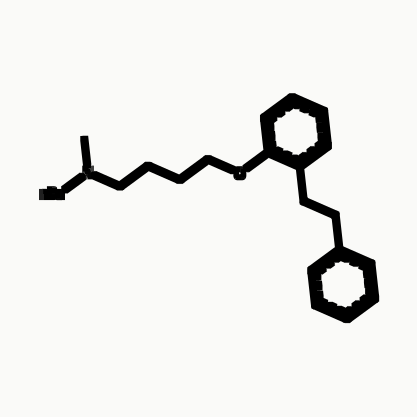 CCCCN(C)CCCCOc1ccccc1CCc1ccccc1